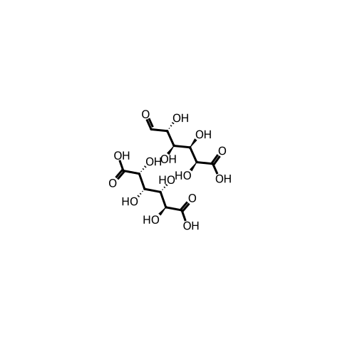 O=C(O)[C@@H](O)[C@@H](O)[C@H](O)[C@@H](O)C(=O)O.O=C[C@H](O)[C@H](O)[C@@H](O)[C@H](O)C(=O)O